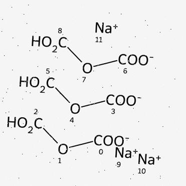 O=C([O-])OC(=O)O.O=C([O-])OC(=O)O.O=C([O-])OC(=O)O.[Na+].[Na+].[Na+]